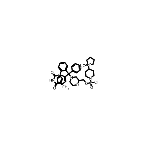 Cc1cn(-c2ccccc2C(c2ccccc2)(c2ccccc2)N2CCOC(COP(=O)(Cl)N3CCC([N+]4(C)CCCC4)CC3)C2)c(=O)[nH]c1=O